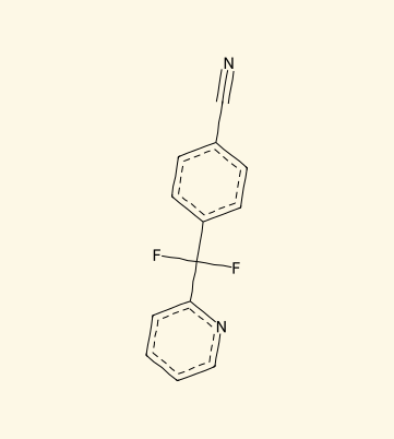 N#Cc1ccc(C(F)(F)c2ccccn2)cc1